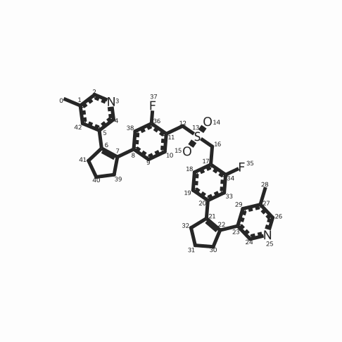 Cc1cncc(C2=C(c3ccc(CS(=O)(=O)Cc4ccc(C5=C(c6cncc(C)c6)CCC5)cc4F)c(F)c3)CCC2)c1